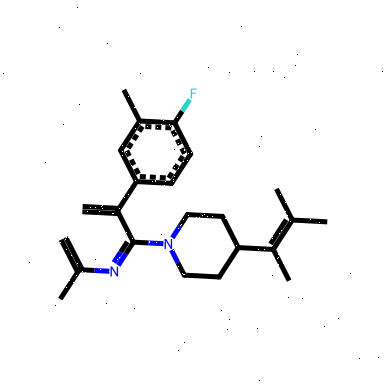 C=C(C)/N=C(\C(=C)c1ccc(F)c(C)c1)N1CCC(C(C)=C(C)C)CC1